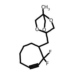 CC12COC(CC3CCCCC#CC3(F)F)(CO1)OC2